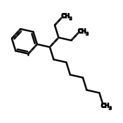 CCCCCCCC(c1[c]cccc1)C(CC)CC